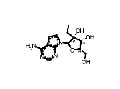 CC[C@]1(O)C(n2ccc3c(N)ncnc32)O[C@H](CO)[C@H]1O